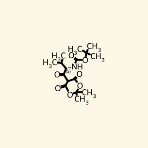 CC(C)[C@H](NC(=O)OC(C)(C)C)C(=O)C1C(=O)OC(C)(C)OC1=O